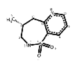 C[C@H]1CNS(=O)(=O)c2cccnc2C1